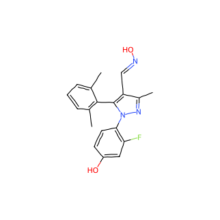 Cc1cccc(C)c1-c1c(/C=N/O)c(C)nn1-c1ccc(O)cc1F